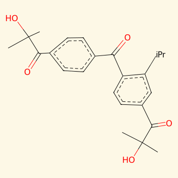 CC(C)c1cc(C(=O)C(C)(C)O)ccc1C(=O)c1ccc(C(=O)C(C)(C)O)cc1